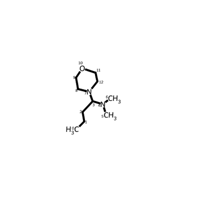 CCCC(N(C)C)N1CCOCC1